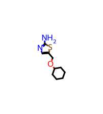 Nc1ncc(COC2CCCCC2)s1